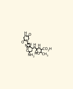 CC(O)C(NC(=O)N[C@@H](CC(N)=O)c1nc(N2CC(=O)NCC2=O)no1)C(=O)O